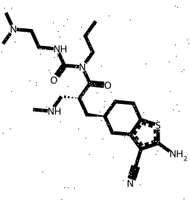 CCCN(C(=O)NCCN(C)C)C(=O)[C@@H](CNC)C[C@H]1CCc2sc(N)c(C#N)c2C1